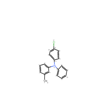 Cc1cccc(N(c2ccccc2)c2ccc(Cl)cc2)c1